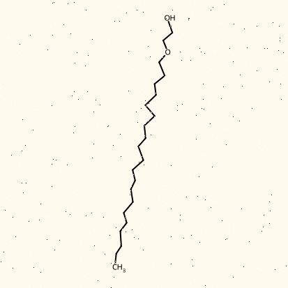 CCCCCCCCCCCCCCCCCCCCOCCO